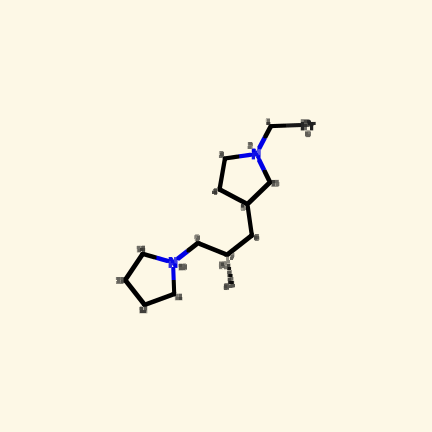 CC(C)CN1CCC(C[C@H](C)CN2CCCC2)C1